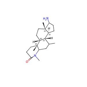 CC1CC2N(C)C(=O)CC[C@]2(C)[C@@H]2CC[C@]3(C)C(N)CC[C@H]3[C@H]12